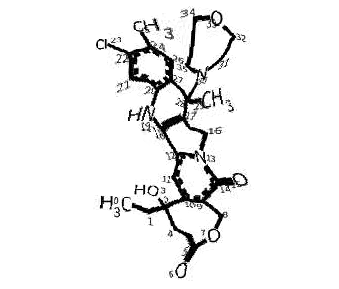 CCC1(O)CC(=O)OCc2c1cc1n(c2=O)CC2=C1Nc1cc(Cl)c(C)cc1C2(C)N1CCOCC1